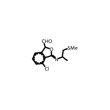 CSCC(C)N=C1OC(C=O)c2cccc(Cl)c21